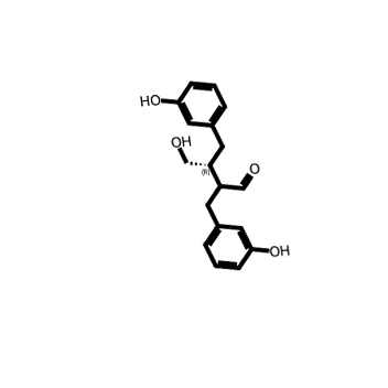 O=CC(Cc1cccc(O)c1)[C@H](CO)Cc1cccc(O)c1